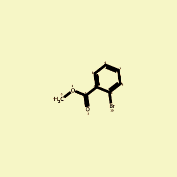 [CH2]OC(=O)c1ccccc1Br